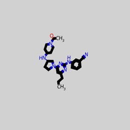 CCCc1cc(N2CC[C@H](NC3CCN(C(C)=O)CC3)C2)nc(Nc2cccc(C#N)c2)n1